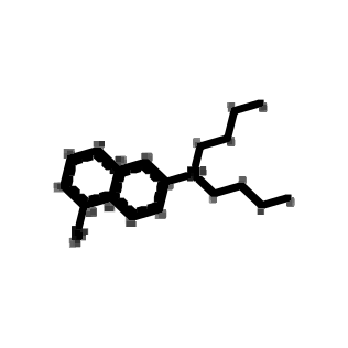 CCCCN(CCCC)c1ccc2c(Br)cccc2c1